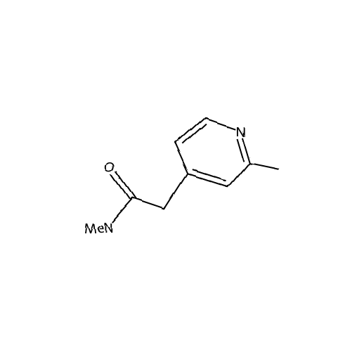 CNC(=O)Cc1ccnc(C)c1